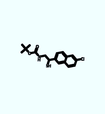 CC(C)(C)OC(=O)NCC(S)c1ccc2cc(Cl)ccc2c1